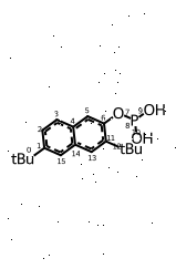 CC(C)(C)c1ccc2cc(OP(O)O)c(C(C)(C)C)cc2c1